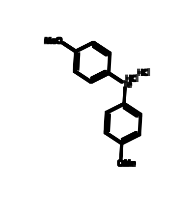 COc1ccc([Te]c2ccc(OC)cc2)cc1.Cl.Cl